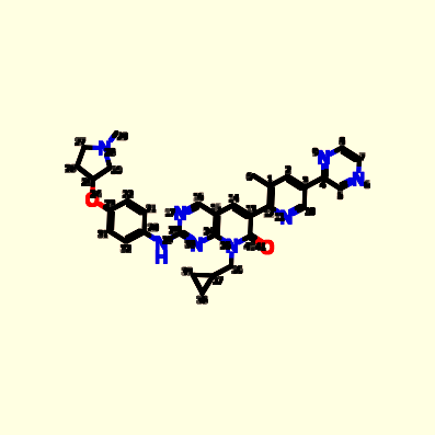 Cc1cc(-c2cnccn2)cnc1-c1cc2cnc(Nc3ccc(OC4CCN(C)C4)cc3)nc2n(CC2CC2)c1=O